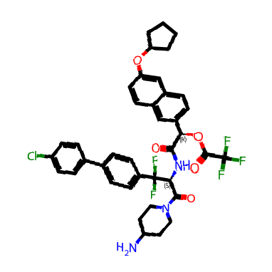 NC1CCN(C(=O)[C@H](NC(=O)[C@H](OC(=O)C(F)(F)F)c2ccc3cc(OC4CCCC4)ccc3c2)C(F)(F)c2ccc(-c3ccc(Cl)cc3)cc2)CC1